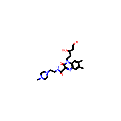 Cc1cc2nc(C(=O)NCCN3CCN(C)CC3)c(=O)n(CCC(O)CCO)c2cc1C